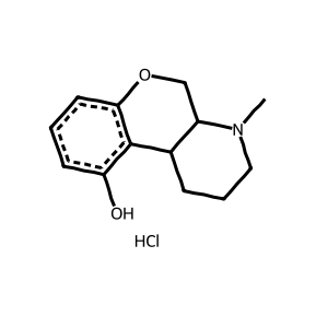 CN1CCCC2c3c(O)cccc3OCC21.Cl